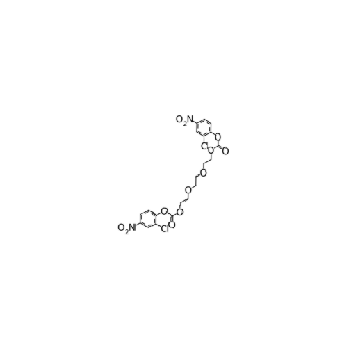 O=C(OCCOCCOCCOC(=O)Oc1ccc([N+](=O)[O-])cc1Cl)Oc1ccc([N+](=O)[O-])cc1Cl